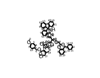 COc1ccc(COC(=O)C2=C(CCl)CS[C@@H]3C(NC(=O)/C(=N\OCC(=O)OC(c4ccccc4)c4ccccc4)c4csc(NC(c5ccccc5)(c5ccccc5)c5ccccc5)n4)C(=O)N23)cc1